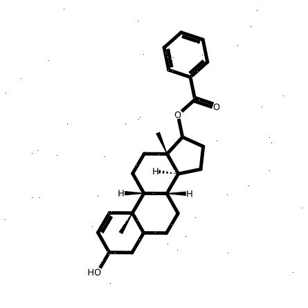 C[C@]12C=CC(O)CC1CC[C@@H]1[C@H]2CC[C@]2(C)C(OC(=O)c3ccccc3)CC[C@@H]12